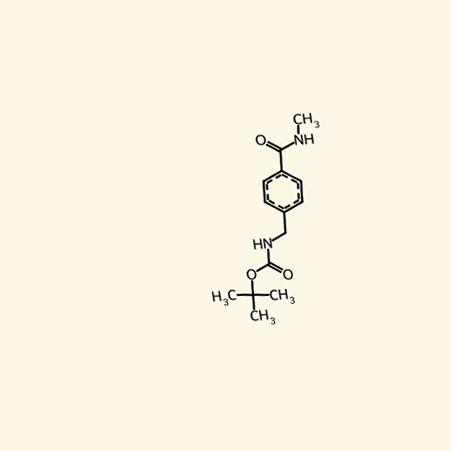 CNC(=O)c1ccc(CNC(=O)OC(C)(C)C)cc1